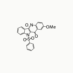 COc1ccc([N+](=O)[O-])c(C(=O)c2cc3ccccc3n2S(=O)(=O)c2ccccc2)c1